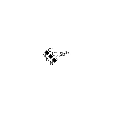 [C-]#N.[C-]#N.[C-]#N.[Sb+3]